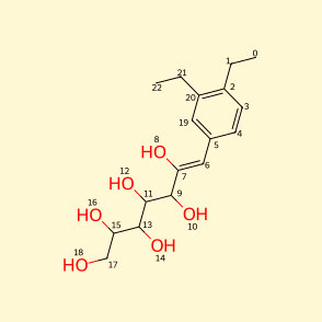 CCc1ccc(C=C(O)C(O)C(O)C(O)C(O)CO)cc1CC